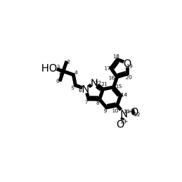 CC(C)(O)CCn1cc2cc([N+](=O)[O-])cc(-c3ccoc3)c2n1